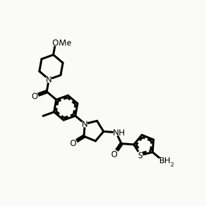 Bc1ccc(C(=O)NC2CC(=O)N(c3ccc(C(=O)N4CCC(OC)CC4)c(C)c3)C2)s1